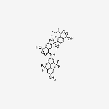 CCC(C)C(=O)c1cc(C(c2ccc(C(=O)O)c(C(=O)Nc3ccc(-c4ccc(N)cc4C(F)(F)F)c(C(F)(F)F)c3)c2)(C(F)(F)F)C(F)(F)F)ccc1C(=O)O